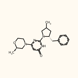 CC1C[C@H](Cc2ccccc2)N(c2nc(N3CCO[C@H](C)C3)cc(=O)[nH]2)C1